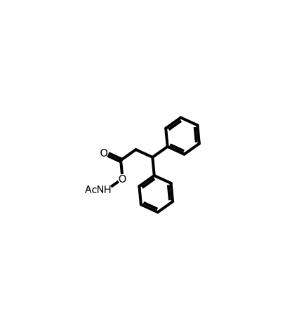 CC(=O)NOC(=O)CC(c1ccccc1)c1ccccc1